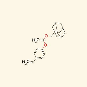 C=Cc1ccc(OC(C)OCC23CC4CC(CC(C4)C2)C3)cc1